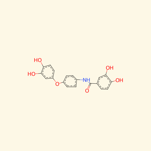 O=C(Nc1ccc(Oc2ccc(O)c(O)c2)cc1)c1ccc(O)c(O)c1